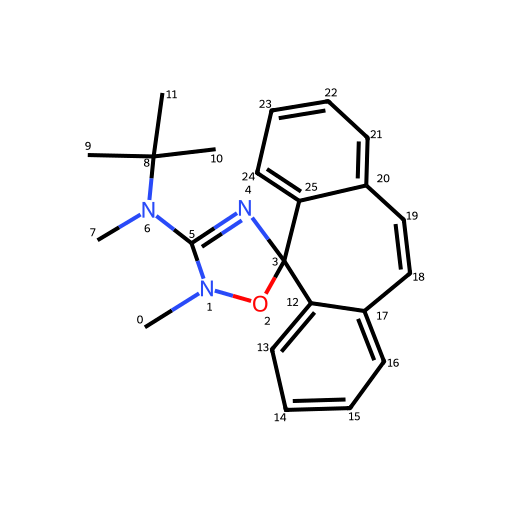 CN1OC2(N=C1N(C)C(C)(C)C)c1ccccc1C=Cc1ccccc12